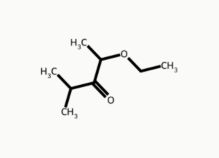 CCOC(C)C(=O)C(C)C